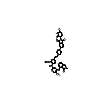 COc1cc(CCN2CCN(c3ccc4c(c3)C(=O)N(C3CCC(=O)NC3=O)C4=O)CC2)ccc1Nc1ncc(C(F)(F)F)c(Oc2cccc3c2C(=O)N(C)C3)n1